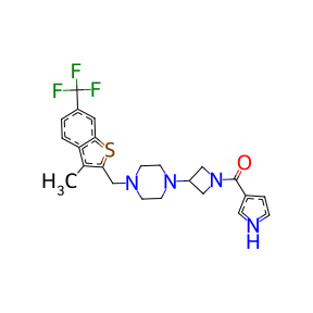 Cc1c(CN2CCN(C3CN(C(=O)c4cc[nH]c4)C3)CC2)sc2cc(C(F)(F)F)ccc12